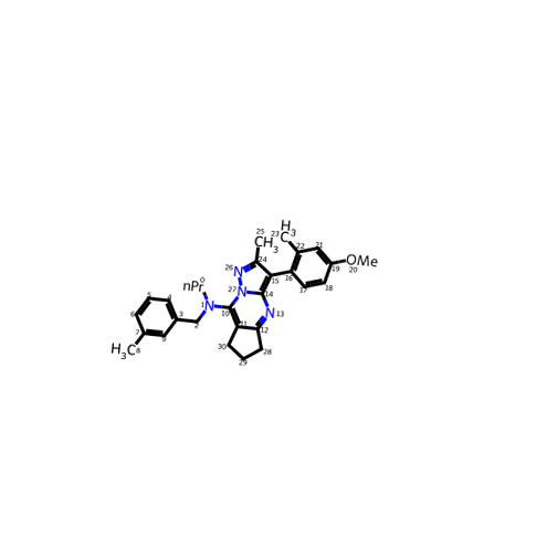 CCCN(Cc1cccc(C)c1)c1c2c(nc3c(-c4ccc(OC)cc4C)c(C)nn13)CCC2